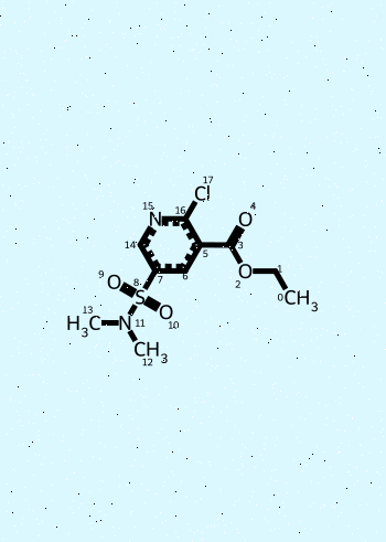 CCOC(=O)c1cc(S(=O)(=O)N(C)C)cnc1Cl